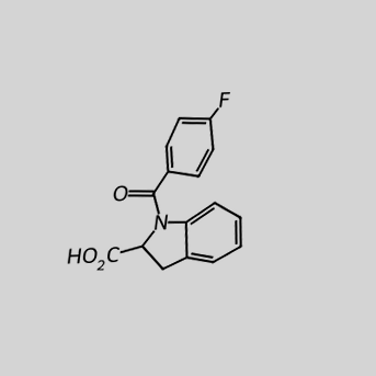 O=C(O)C1Cc2ccccc2N1C(=O)c1ccc(F)cc1